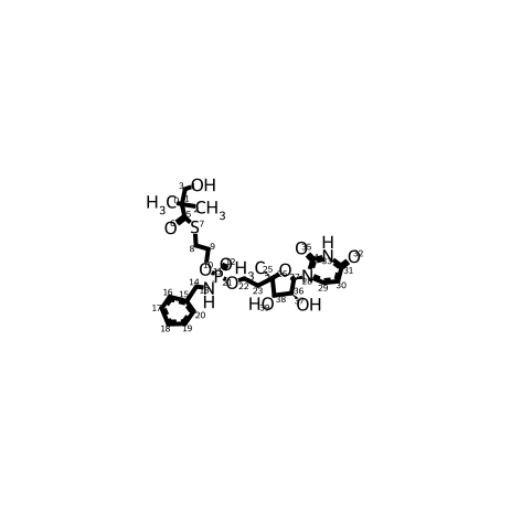 CC(C)(CO)C(=O)SCCOP(=O)(NCc1ccccc1)OCC[C@@]1(C)O[C@@H](n2ccc(=O)[nH]c2=O)[C@H](O)[C@@H]1O